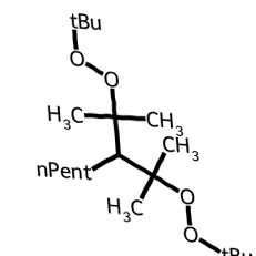 CCCCCC(C(C)(C)OOC(C)(C)C)C(C)(C)OOC(C)(C)C